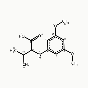 COc1cc(NC(C(=O)O)C(C)C)cc(OC)c1